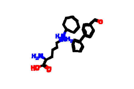 NC1CCCCCC1.NCCCC[C@H](N)C(=O)O.O=Cc1ccc(-c2ccccc2)cc1